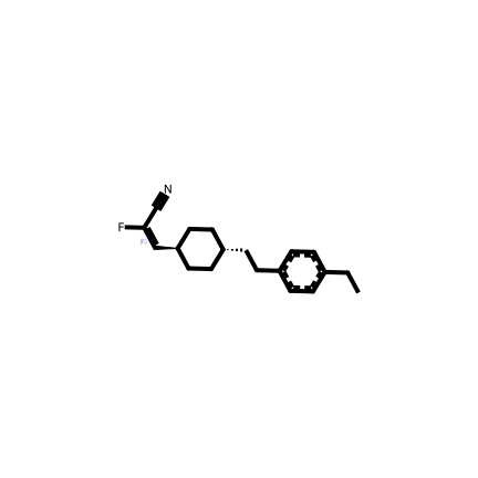 CCc1ccc(CC[C@H]2CC[C@H](/C=C(/F)C#N)CC2)cc1